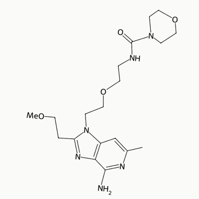 COCCc1nc2c(N)nc(C)cc2n1CCOCCNC(=O)N1CCOCC1